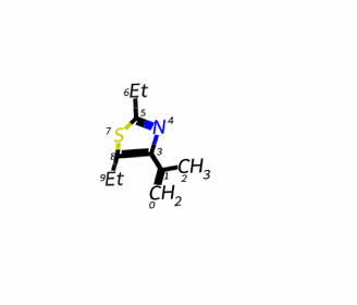 C=C(C)c1nc(CC)sc1CC